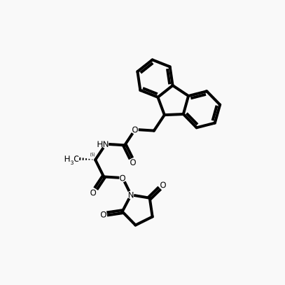 C[C@H](NC(=O)OCC1c2ccccc2-c2ccccc21)C(=O)ON1C(=O)CCC1=O